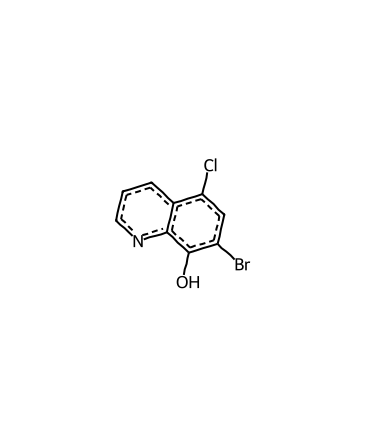 Oc1c(Br)cc(Cl)c2cccnc12